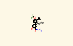 COc1c(C2(C#N)CCC(=O)C(C(N)=O)C2)ccc(OC(F)F)c1C1CC1